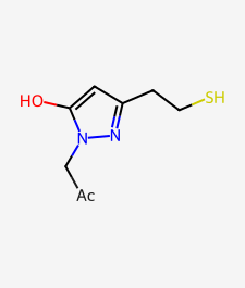 CC(=O)Cn1nc(CCS)cc1O